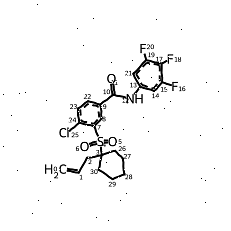 C=CCC1(S(=O)(=O)c2cc(C(=O)Nc3cc(F)c(F)c(F)c3)ccc2Cl)CCCCC1